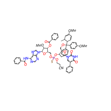 COC1=CC(C)C(C(OC[C@H]2O[C@@H](n3cc(-c4ccccc4)c(=O)[nH]c3=O)CC2OP(=S)(OCCC#N)OC[C@H]2O[C@@H](n3cnc4c(NC(=O)c5ccccc5)ncnc43)C(OC)C2OC(=O)c2ccccc2)(c2ccccc2)c2ccc(OC)cc2)C=C1